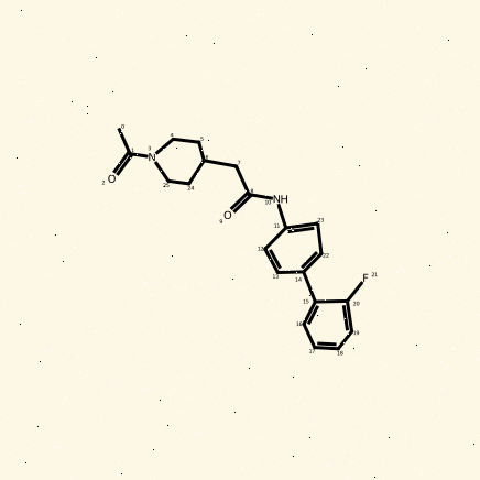 CC(=O)N1CCC(CC(=O)Nc2ccc(-c3ccccc3F)cc2)CC1